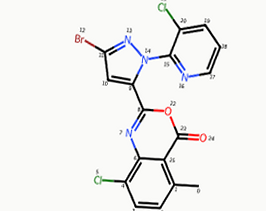 Cc1ccc(Cl)c2nc(-c3cc(Br)nn3-c3ncccc3Cl)oc(=O)c12